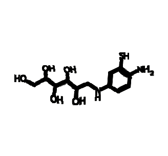 Nc1ccc(NCC(O)C(O)C(O)C(O)CO)cc1S